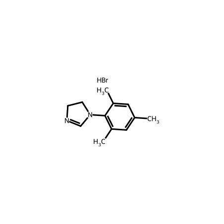 Br.Cc1cc(C)c(N2C=NCC2)c(C)c1